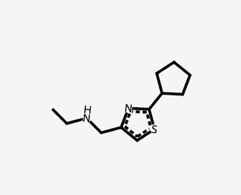 CCNCc1csc(C2CCCC2)n1